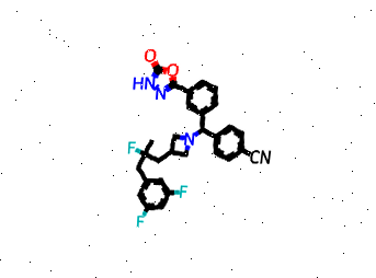 CC(F)(Cc1cc(F)cc(F)c1)CC1CN(C(c2ccc(C#N)cc2)c2cccc(-c3n[nH]c(=O)o3)c2)C1